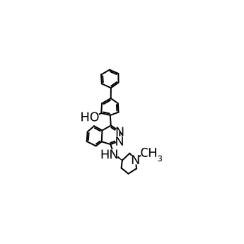 CN1CCC[C@@H](Nc2nnc(-c3ccc(-c4ccccc4)cc3O)c3ccccc23)C1